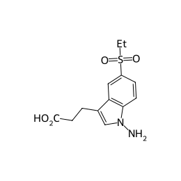 CCS(=O)(=O)c1ccc2c(c1)c(CCC(=O)O)cn2N